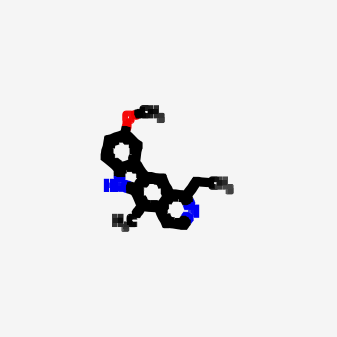 CCc1nccc2c(C)c3[nH]c4ccc(OC)cc4c3cc12